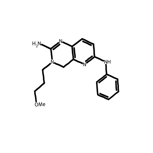 COCCCN1Cc2nc(Nc3ccccc3)ccc2N=C1N